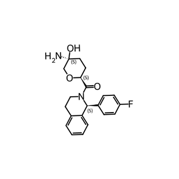 N[C@]1(O)CC[C@@H](C(=O)N2CCc3ccccc3[C@@H]2c2ccc(F)cc2)OC1